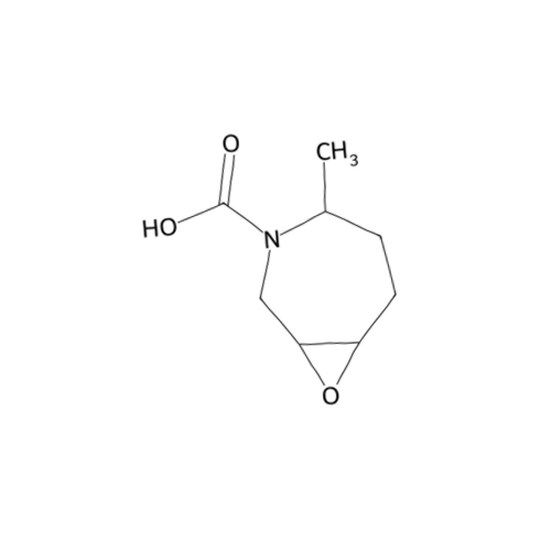 CC1CCC2OC2CN1C(=O)O